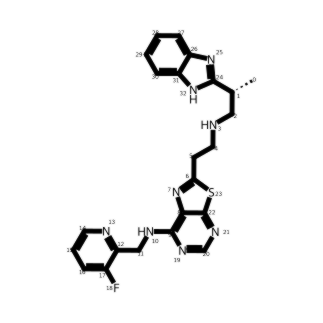 C[C@H](CNCCc1nc2c(NCc3ncccc3F)ncnc2s1)c1nc2ccccc2[nH]1